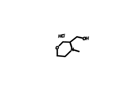 CN1CCOCC1CO.Cl